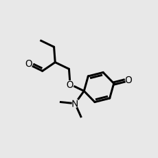 CCC(C=O)COC1(N(C)C)C=CC(=O)C=C1